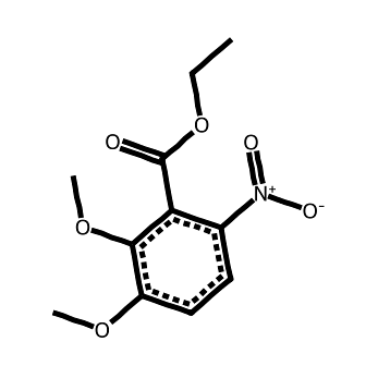 CCOC(=O)c1c([N+](=O)[O-])ccc(OC)c1OC